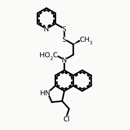 C[C@@H](CN(C(=O)O)c1cc2c(c3ccccc13)C(CCl)CN2)SSc1ccccn1